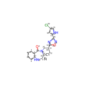 O=C1c2ccccc2NC[C@@H]2CC[C@H](c3nc(-c4cc(Cl)c[nH]4)no3)CN12